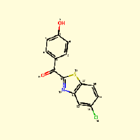 O=C(c1ccc(O)cc1)c1nc2cc(Cl)ccc2s1